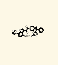 COc1cnc(-n2ccnn2)c2[nH]cc(C(=O)C(=O)N3CCC4(CC3)CC4(c3ccccc3)c3nnc(C)o3)c12